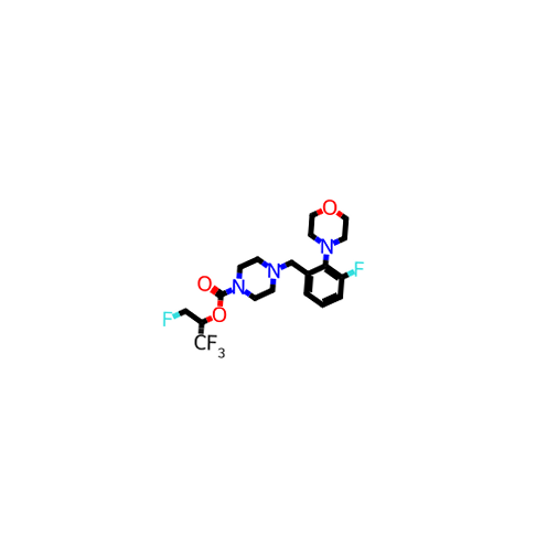 O=C(OC(CF)C(F)(F)F)N1CCN(Cc2cccc(F)c2N2CCOCC2)CC1